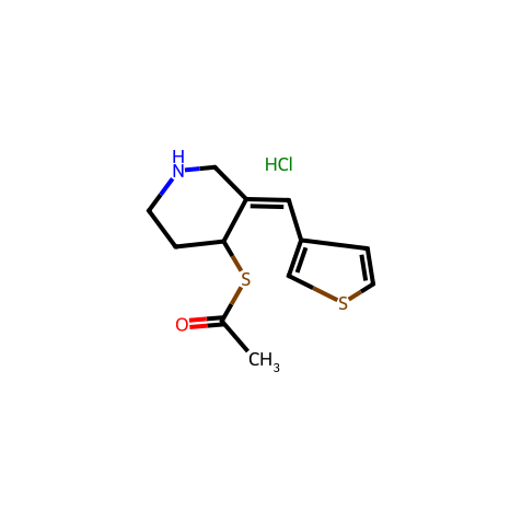 CC(=O)SC1CCNCC1=Cc1ccsc1.Cl